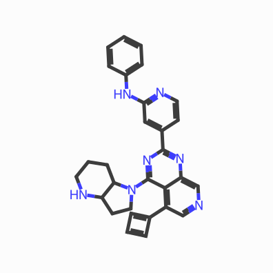 C1=CC(c2cncc3nc(-c4ccnc(Nc5ccccc5)c4)nc(N4CCC5NCCCC54)c23)=C1